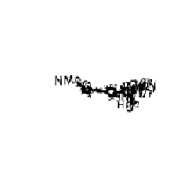 CNCc1ccc(C#Cc2ccc(C(=O)N[C@H](C(=O)NO)[C@@H](C)O)cc2)o1